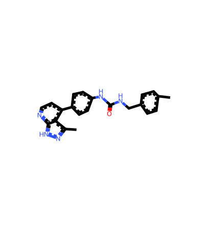 Cc1ccc(CNC(=O)Nc2ccc(-c3ccnc4[nH]nc(C)c34)cc2)cc1